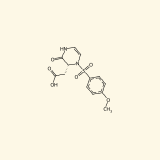 COc1ccc(S(=O)(=O)N2C=CNC(=O)[C@H]2CC(=O)O)cc1